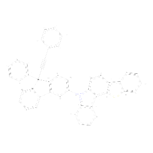 C(#CC1(c2ccccc2)c2ccccc2-c2cc(-n3c4ccccc4c4c5sc6ccccc6c5ccc43)ccc21)c1ccccc1